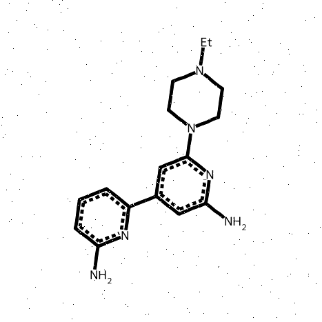 CCN1CCN(c2cc(-c3cccc(N)n3)cc(N)n2)CC1